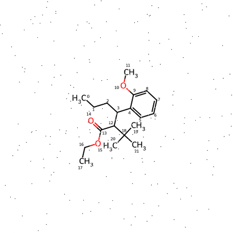 CCCC(c1ccccc1OC)C(C(=O)OCC)C(C)(C)C